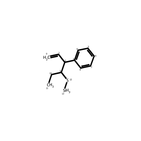 C=CC(c1ccccc1)C(CC)S[SiH3]